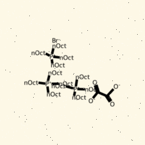 CCCCCCCC[P+](CCCCCCCC)(CCCCCCCC)CCCCCCCC.CCCCCCCC[P+](CCCCCCCC)(CCCCCCCC)CCCCCCCC.CCCCCCCC[P+](CCCCCCCC)(CCCCCCCC)CCCCCCCC.O=C([O-])C(=O)[O-].[Br-]